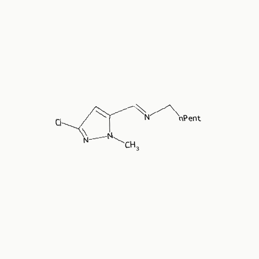 CCCCCCN=Cc1cc(Cl)nn1C